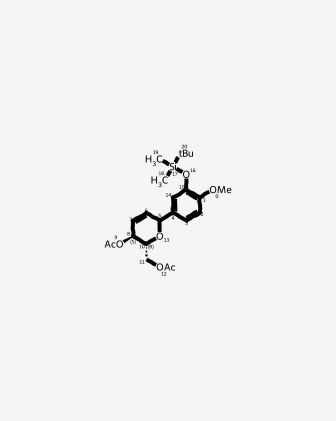 COc1ccc(C2C=C[C@H](OC(C)=O)[C@@H](COC(C)=O)O2)cc1O[Si](C)(C)C(C)(C)C